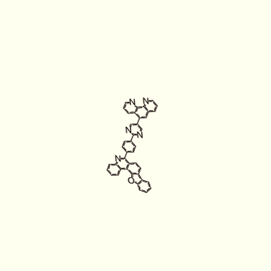 c1cnc2c(c1)cc(-c1cnc(-c3ccc(-c4nc5ccccc5c5c4ccc4c6ccccc6oc45)cc3)nc1)c1cccnc12